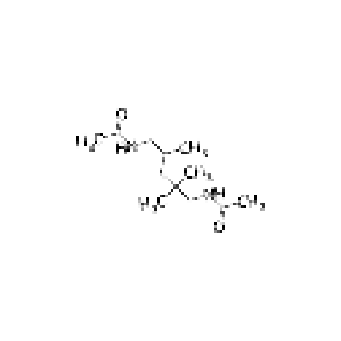 CC(=O)NCC(C)CC(C)(C)CNC(C)=O